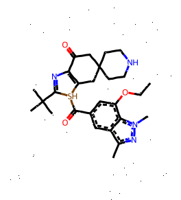 CCOc1cc(C(=O)[SH]2C(C(C)(C)C)=NC3=C2CC2(CCNCC2)CC3=O)cc2c(C)nn(C)c12